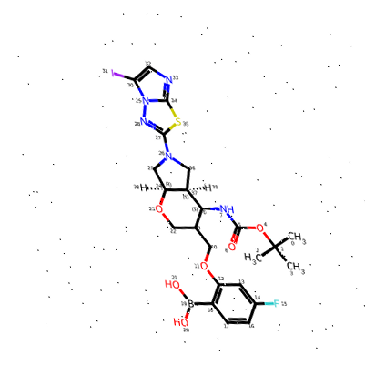 CC(C)(C)OC(=O)N[C@H]1C(COc2cc(F)ccc2B(O)O)CO[C@H]2CN(c3nn4c(I)cnc4s3)C[C@H]21